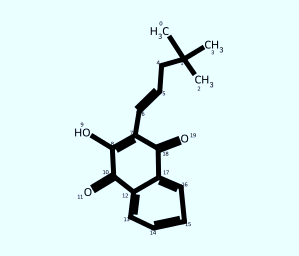 CC(C)(C)CC=CC1=C(O)C(=O)c2ccccc2C1=O